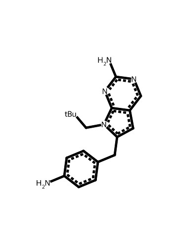 CC(C)(C)Cn1c(Cc2ccc(N)cc2)cc2cnc(N)nc21